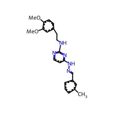 COc1ccc(CCNc2nccc(N/N=C/c3cccc(C)c3)n2)cc1OC